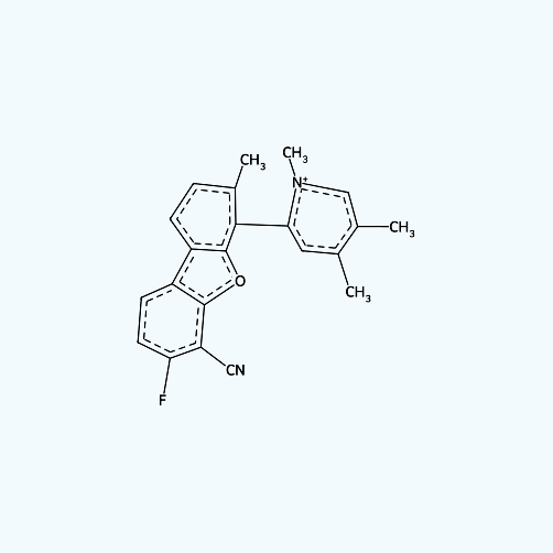 Cc1cc(-c2c(C)ccc3c2oc2c(C#N)c(F)ccc23)[n+](C)cc1C